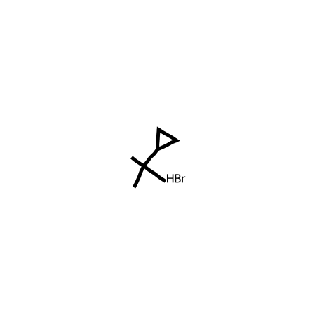 Br.CC(C)(C)C1CC1